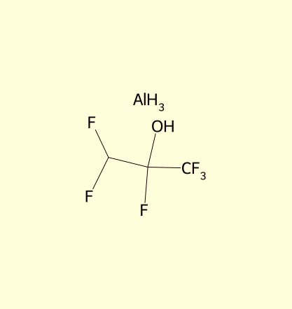 OC(F)(C(F)F)C(F)(F)F.[AlH3]